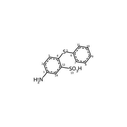 Nc1ccc(Sc2ccccc2)c(S(=O)(=O)O)c1